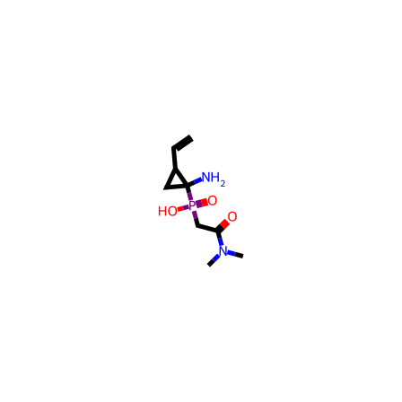 C=CC1CC1(N)P(=O)(O)CC(=O)N(C)C